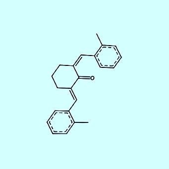 Cc1ccccc1C=C1CCCC(=Cc2ccccc2C)C1=O